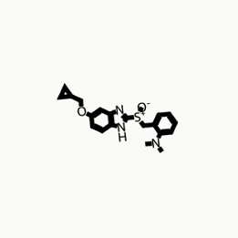 CN(C)c1ccccc1C[S+]([O-])c1nc2cc(OCC3CC3)ccc2[nH]1